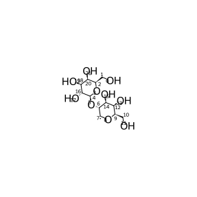 OC[C@H]1O[C@@H](O[C@H]2[CH]O[C@H](CO)[C@H](O)[C@@H]2O)[C@H](O)[C@@H](O)[C@H]1O